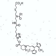 CCC(=O)N(CCNC(=O)CCCc1cn(COC(=O)[C@@H]2CCCN(CCC=C(c3sccc3C)c3sccc3C)C2)nn1)CCSCCC(=O)O